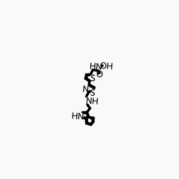 O=C(Cc1ccc(-c2csc(CNCCc3c[nH]c4ccccc34)n2)s1)NO